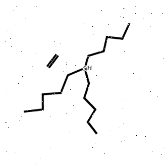 C=C.CCCCC[SiH](CCCCC)CCCCC